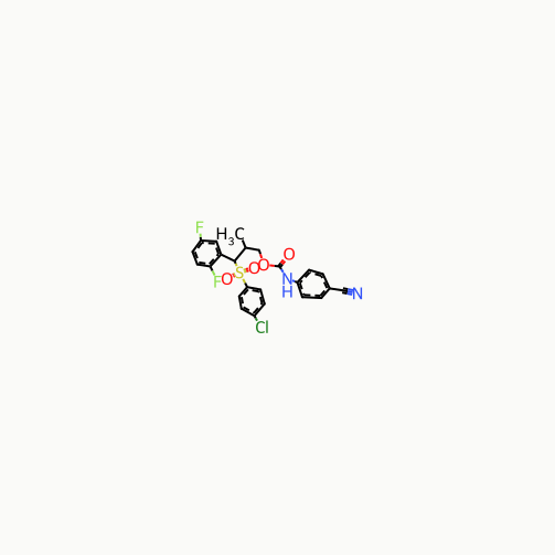 CC(COC(=O)Nc1ccc(C#N)cc1)C(c1cc(F)ccc1F)S(=O)(=O)c1ccc(Cl)cc1